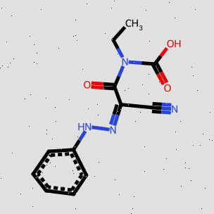 CCN(C(=O)O)C(=O)C(C#N)=NNc1ccccc1